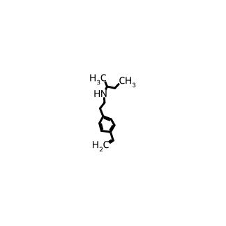 C=Cc1ccc(CCNC(C)CC)cc1